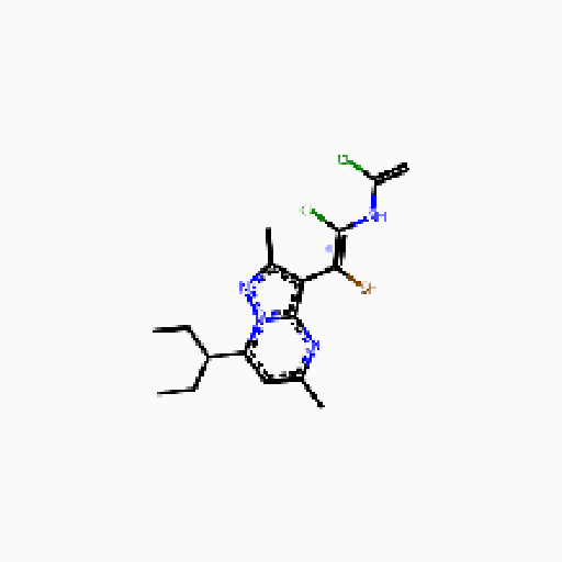 C=C(Cl)N/C(Cl)=C(\S)c1c(C)nn2c(C(CC)CC)cc(C)nc12